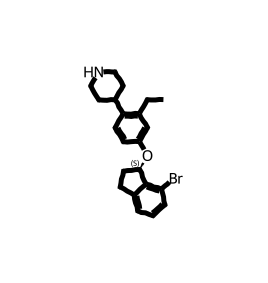 CCc1cc(O[C@H]2CCc3cccc(Br)c32)ccc1C1CCNCC1